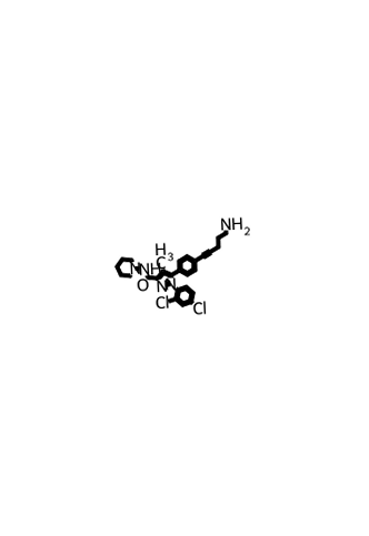 Cc1c(C(=O)NN2CCCCC2)nn(-c2ccc(Cl)cc2Cl)c1-c1ccc(C#CCCCN)cc1